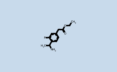 CCOC(=O)Cc1ccc(C(C)N)c(F)c1